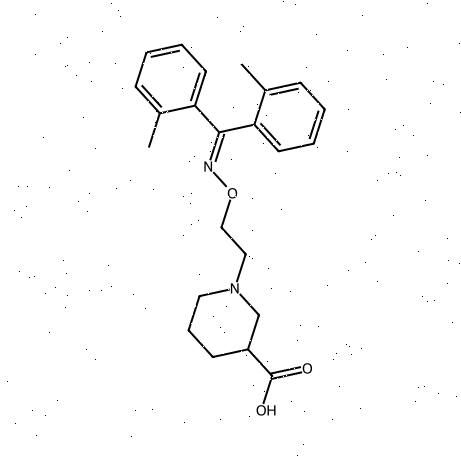 Cc1ccccc1C(=NOCCN1CCCC(C(=O)O)C1)c1ccccc1C